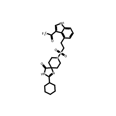 O=C(c1c[nH]c2cccc(CCS(=O)(=O)N3CCC4(CC3)N=C(C3CCCCC3)NC4=O)c12)C(F)(F)F